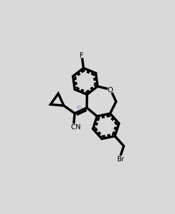 N#C/C(=C1\c2ccc(CBr)cc2COc2cc(F)ccc21)C1CC1